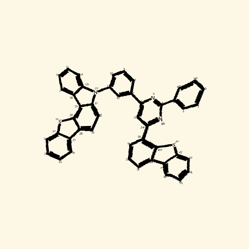 c1ccc(-c2nc(-c3cccc(-n4c5ccccc5c5c6sc7ccccc7c6ccc54)c3)cc(-c3cccc4c3sc3ccccc34)n2)cc1